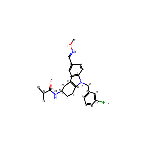 CON=Cc1ccc2c(c1)c1c(n2Cc2cccc(F)c2)CC[C@@H](NC(=O)C(C)C)C1